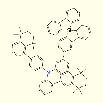 CC1(C)CCC(C)(C)c2cc(-c3ccccc3N(c3ccc(-c4cccc5c4C(C)(C)CCC5(C)C)cc3)c3cccc(-c4ccc5c(c4)-c4ccccc4[Si]54c5ccccc5-c5ccccc54)c3)ccc21